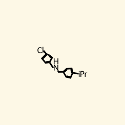 CC(C)c1ccc(CNCc2ccc(Cl)cc2)cc1